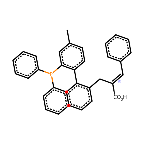 Cc1ccc(-c2ccccc2C/C(=C\c2ccccc2)C(=O)O)c(P(c2ccccc2)c2ccccc2)c1